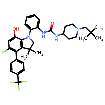 CC(C)(C)CN1CCC(NC(=O)Nc2ccccc2N2CC(C)(C)c3c(-c4ccc(C(F)(F)F)cc4)c(F)cc(O)c32)CC1